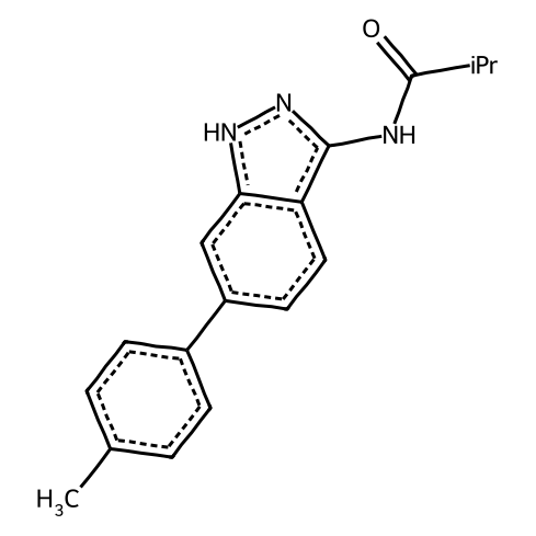 Cc1ccc(-c2ccc3c(NC(=O)C(C)C)n[nH]c3c2)cc1